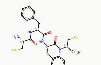 N[C@@H](CS)C(=O)N[C@@H](Cc1ccccc1)C(=O)N[C@@H](Cc1ccccc1)C(=O)N[C@@H](CS)C(=O)O